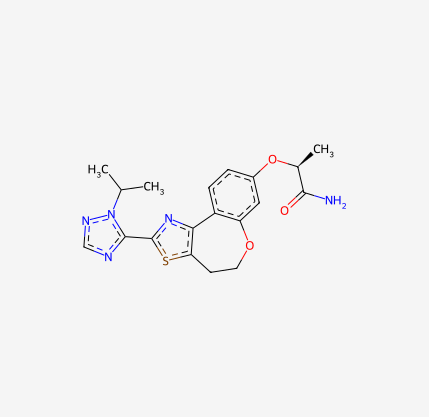 CC(C)n1ncnc1-c1nc2c(s1)CCOc1cc(O[C@@H](C)C(N)=O)ccc1-2